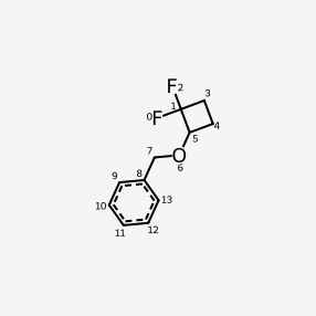 FC1(F)CCC1OCc1ccccc1